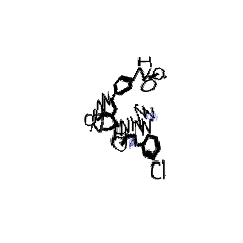 C=N/N=C\N(N)c1ccc(Cl)cc1/C=C/C(=O)NC(CNC)c1cc(-c2ccc(NC(=O)OC)cc2)nnc1Cl